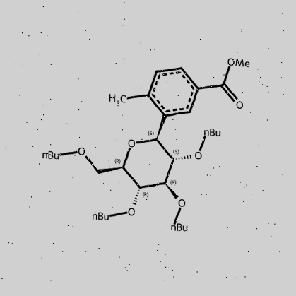 CCCCOC[C@H]1O[C@@H](c2cc(C(=O)OC)ccc2C)[C@H](OCCCC)[C@@H](OCCCC)[C@@H]1OCCCC